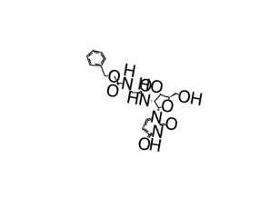 O=C(CNC(=O)OCc1ccccc1)N[C@@H]1[C@H](O)[C@@H](CO)O[C@H]1n1ccc(=O)[nH]c1=O